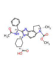 COC(=O)N1c2ccc3c(nc([C@@H](NC(C)=O)c4ccccc4)n3[C@@H]3CCC[C@@H](C(=O)O)C3)c2CC[C@@H]1C